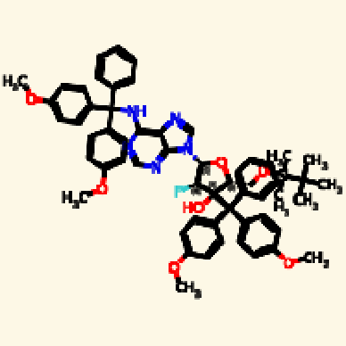 COc1ccc(C(Nc2ncnc3c2ncn3[C@@H]2O[C@H](CO[Si](C)(C)C(C)(C)C)[C@](O)(C(c3ccccc3)(c3ccc(OC)cc3)c3ccc(OC)cc3)[C@H]2F)(c2ccccc2)c2ccc(OC)cc2)cc1